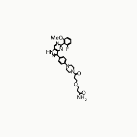 COc1cccc(F)c1-c1ncc2[nH]nc(-c3ccc(N4CCN(C(=O)CCOCCC(N)=O)CC4)cc3)c2n1